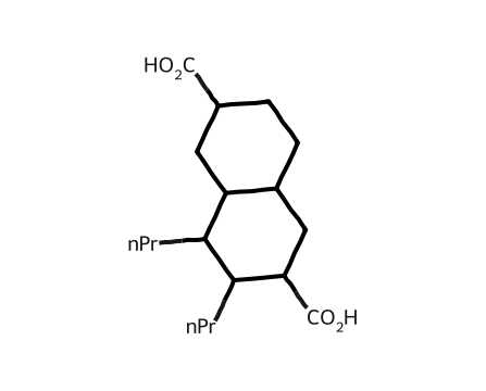 CCCC1C(C(=O)O)CC2CCC(C(=O)O)CC2C1CCC